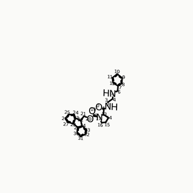 O=C(NCCNCc1ccccc1)C1CCCN1C(=O)OCC1c2ccccc2-c2ccccc21